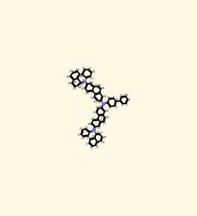 c1ccc(-c2ccc(N(c3ccc4c(ccc5cc(N(c6ccccc6)c6cccc7ccccc67)ccc54)c3)c3ccc4c(ccc5cc(N(c6ccccc6)c6cccc7ccccc67)ccc54)c3)cc2)cc1